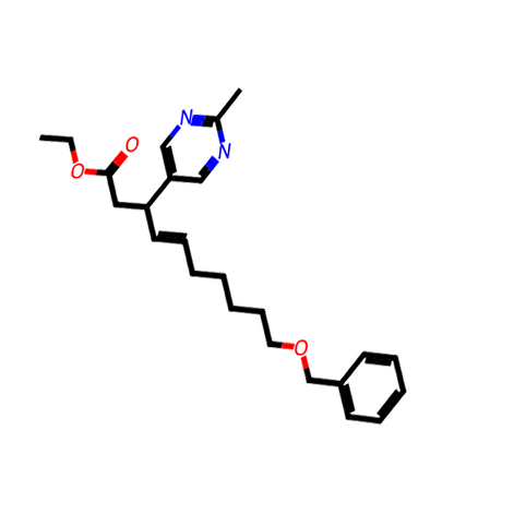 CCOC(=O)CC(/C=C/CCCCCOCc1ccccc1)c1cnc(C)nc1